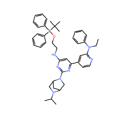 CCN(c1ccccc1)c1cc(-c2cc(NCCO[Si](c3ccccc3)(c3ccccc3)C(C)(C)C)nc(N3CC4CC3CN4C(C)C)n2)ccn1